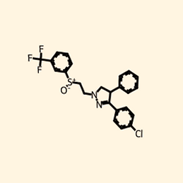 [O-][S+](CCN1CC(c2ccccc2)C(c2ccc(Cl)cc2)=N1)c1cccc(C(F)(F)F)c1